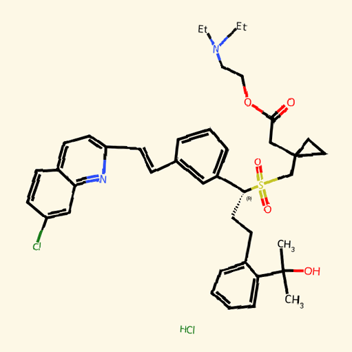 CCN(CC)CCOC(=O)CC1(CS(=O)(=O)[C@H](CCc2ccccc2C(C)(C)O)c2cccc(C=Cc3ccc4ccc(Cl)cc4n3)c2)CC1.Cl